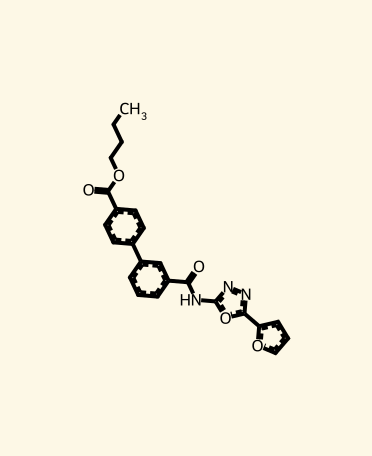 CCCCOC(=O)c1ccc(-c2cccc(C(=O)Nc3nnc(-c4ccco4)o3)c2)cc1